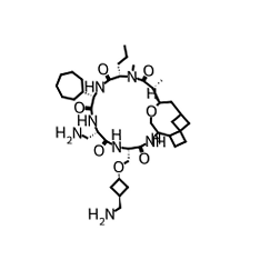 CCC[C@H]1C(=O)N[C@@H](C2CCCCCC2)C(=O)N[C@@H](CN)C(=O)N[C@@H](CO[C@H]2C[C@H](CN)C2)C(=O)N[C@H]2CO[C@H](CC3CC4(CCC24)C3)[C@@H](C)C(=O)N1C